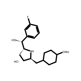 COC1CCC(C[C@H]2CC[C@H]([C@H](O)c3cccc(F)c3)N2)CC1.Cl